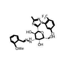 COc1ccccc1C=NN[C@H]1[C@@H](O)[C@@H](CO)O[C@@H](c2nc(C)nn2-c2cc(Cl)ccc2C(F)(F)F)[C@@H]1O